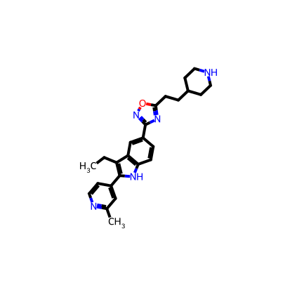 CCc1c(-c2ccnc(C)c2)[nH]c2ccc(-c3noc(CCC4CCNCC4)n3)cc12